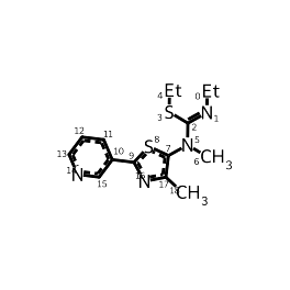 CCN=C(SCC)N(C)c1sc(-c2cccnc2)nc1C